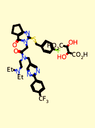 CCN(CC)CCN(Cc1cnc(-c2ccc(C(F)(F)F)cc2)nc1)C(=O)Cn1c(SCc2ccc(F)cc2)nc2c(c1=O)CCC2.O=C(O)C(O)C(O)C(=O)O